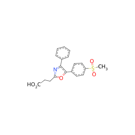 CS(=O)(=O)c1ccc(-c2oc(CCC(=O)O)nc2-c2ccccc2)cc1